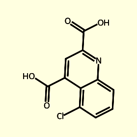 O=C(O)c1cc(C(=O)O)c2c(Cl)cccc2n1